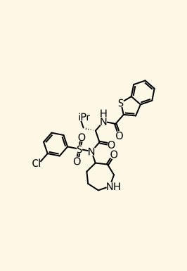 CC(C)C[C@H](NC(=O)c1cc2ccccc2s1)C(=O)N(C1CCCNCC1=O)S(=O)(=O)c1cccc(Cl)c1